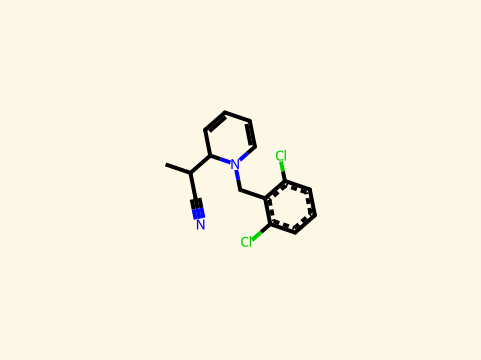 CC(C#N)C1C=CC=CN1Cc1c(Cl)cccc1Cl